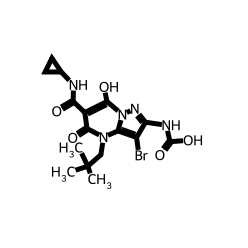 CC(C)(C)Cn1c(=O)c(C(=O)NC2CC2)c(O)n2nc(NC(=O)O)c(Br)c12